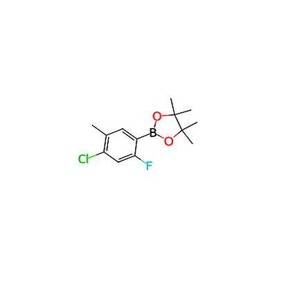 Cc1cc(B2OC(C)(C)C(C)(C)O2)c(F)cc1Cl